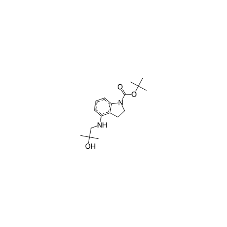 CC(C)(O)CNc1cccc2c1CCN2C(=O)OC(C)(C)C